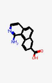 Nc1nccc2ccc3cc(C(=O)O)ccc3c12